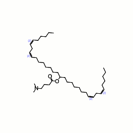 CCCCC/C=C\C/C=C\CCCCCCCC(CCCCCCC/C=C\C/C=C\CCCCC)OC(=O)CCCN(C)C